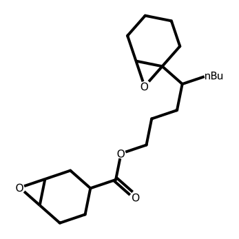 CCCCC(CCCOC(=O)C1CCC2OC2C1)C12CCCCC1O2